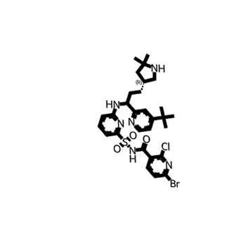 CC1(C)C[C@@H](CCC(Nc2cccc(S(=O)(=O)NC(=O)c3ccc(Br)nc3Cl)n2)c2cc(C(C)(C)C)ccn2)CN1